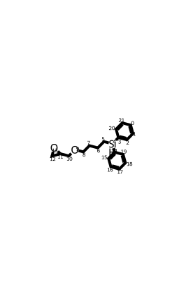 c1ccc([SiH](CCCCOCC2CO2)c2ccccc2)cc1